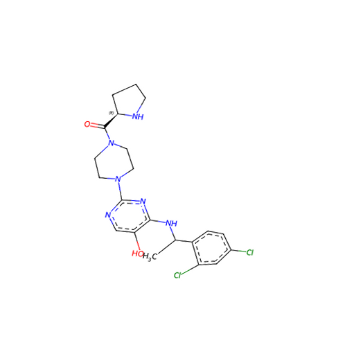 CC(Nc1nc(N2CCN(C(=O)[C@H]3CCCN3)CC2)ncc1O)c1ccc(Cl)cc1Cl